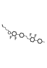 C=CCCCOc1ccc(-c2ccc(CCc3ccc(-c4ccc(C)cc4)c(F)c3F)cc2)c(F)c1F